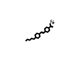 C=C(CN(C)C)C1CCC(/C=C/C2CCC(CCCCC)CC2)CC1